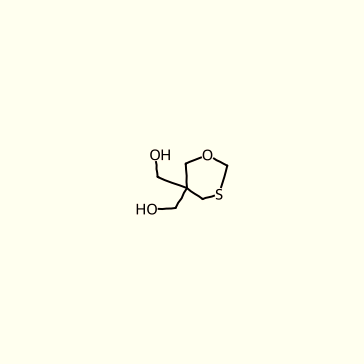 OCC1(CO)COCSC1